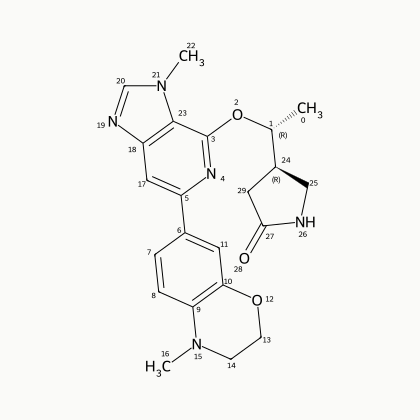 C[C@@H](Oc1nc(-c2ccc3c(c2)OCCN3C)cc2ncn(C)c12)[C@H]1CNC(=O)C1